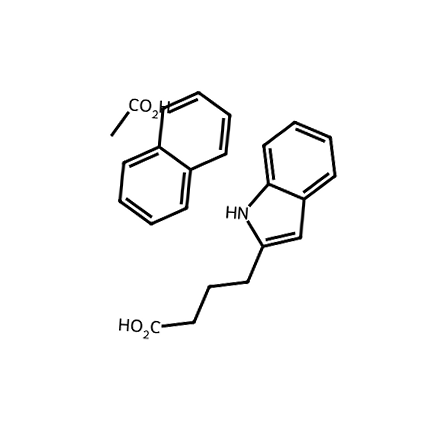 CC(=O)O.O=C(O)CCCc1cc2ccccc2[nH]1.c1ccc2ccccc2c1